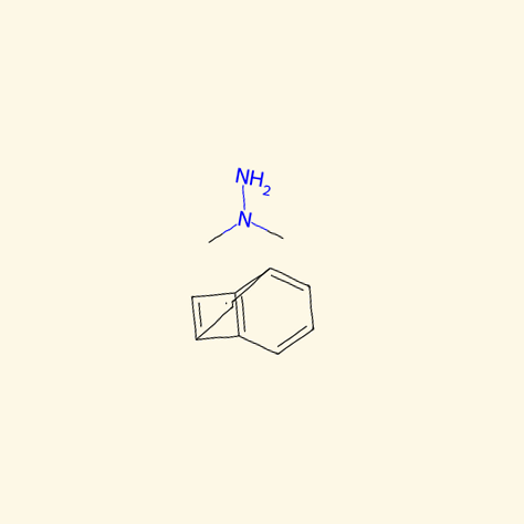 CN(C)N.c1cc2c3cc-2ccc3c1